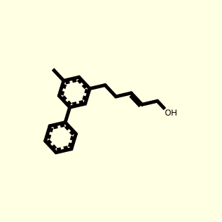 Cc1cc(CCC=CCO)cc(-c2ccccc2)c1